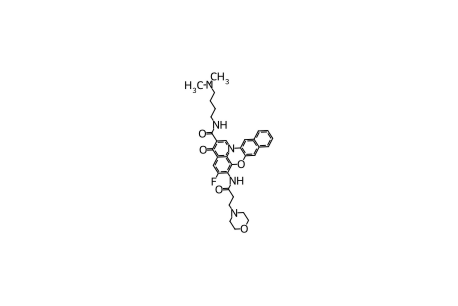 CN(C)CCCCNC(=O)c1cn2c3c(c(NC(=O)CCN4CCOCC4)c(F)cc3c1=O)Oc1cc3ccccc3cc1-2